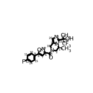 C[C@H]1CN(C(=O)c2cc(-c3ccc(F)cc3)on2)Cc2cnc([C@@](C)(O)C(F)(F)F)n21